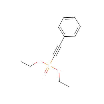 CCOP(=O)(C#Cc1ccccc1)OCC